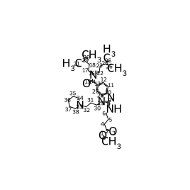 COC(=O)CCCNc1nc2ccc(C(=O)N(CCC(C)C)CCC(C)C)cc2n1CCCN1CCCCC1